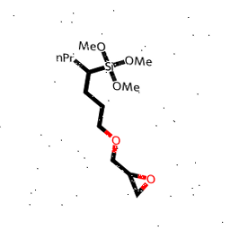 CCCC(CCCOCC1CO1)[Si](OC)(OC)OC